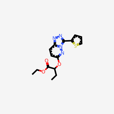 CCOC(=O)C(CC)Oc1ccc2nnc(-c3cccs3)n2n1